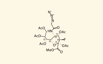 COC(=O)[C@@]1(OC(C)=O)O[C@H]([C@H](OC(C)=O)C(COC(C)=O)OC(C)=O)[C@H](NC(=O)CN=[N+]=[N-])[C@H](OC(C)=O)[C@H]1F